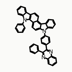 c1ccc(-c2nc3ccccc3nc2-c2ccc(-n3c4ccccc4c4c5ccc6c7ccccc7n(-c7ccccc7)c6c5ccc43)cc2)cc1